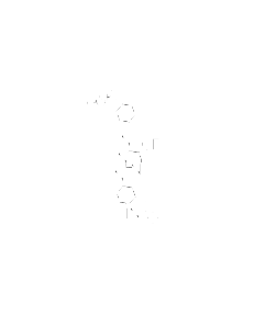 CS(=O)(=O)Cc1cccc(CNc2nc(Nc3ccc4c(c3)CC(=O)N4)ncc2C(F)(F)F)c1